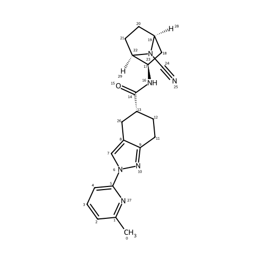 Cc1cccc(-n2cc3c(n2)CC[C@@H](C(=O)N[C@@H]2C[C@@H]4CC[C@H]2N4C#N)C3)n1